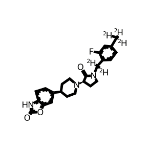 [2H]C([2H])([2H])c1ccc(C([2H])([2H])N2CC[C@@H](N3CCC(c4ccc5[nH]c(=O)oc5c4)CC3)C2=O)c(F)c1